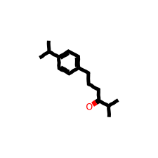 CC(C)C(=O)CCCc1ccc(C(C)C)cc1